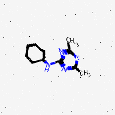 Cc1nc(C)nc(NC2CCCCC2)n1